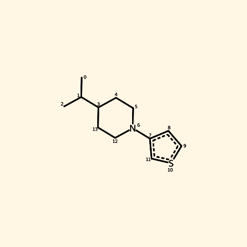 CC(C)C1CCN(c2ccsc2)CC1